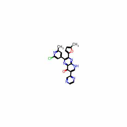 Cc1cc(-c2nc3c(=O)c(-c4cnccn4)c[nH]c3nc2-c2ccc(C)o2)cc(Cl)n1